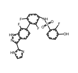 O=S(=O)(Nc1ccc(F)c(-c2ccc3c(-c4ncc[nH]4)n[nH]c3c2F)c1F)c1cccc(O)c1F